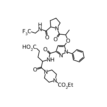 CCOC(=O)N1CCN(C(=O)C(CCC(=O)O)NC(=O)c2cc(OC(C)C(=O)N3CCCC3C(=O)NCC(F)(F)F)n(-c3ccccc3)n2)CC1